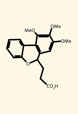 COc1cc2c(c(OC)c1OC)-c1ccccc1OC2CCC(=O)O